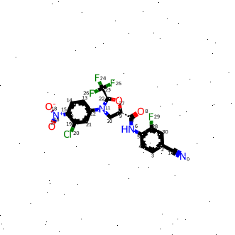 N#Cc1ccc(NC(=O)[C@@H]2CN(c3ccc([N+](=O)[O-])c(Cl)c3)[C@@H](C(F)(F)F)O2)c(F)c1